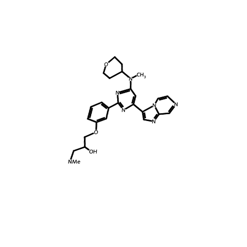 CNCC(O)COc1cccc(-c2nc(-c3cnc4cnccn34)cc(N(C)C3CCOCC3)n2)c1